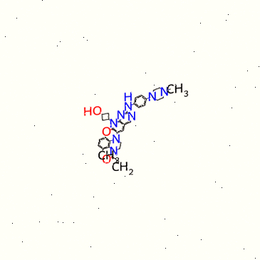 C=CC(=O)N1CCN(c2cc3cnc(Nc4ccc(N5CCN(C)CC5)cc4)nc3n(C3CC(O)C3)c2=O)c2cccc(C)c21